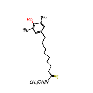 CN(O)C(=S)CCCCCCCCc1cc(C(C)(C)C)c(O)c(C(C)(C)C)c1